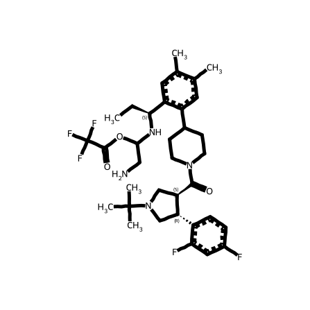 CC[C@H](NC(CN)OC(=O)C(F)(F)F)c1cc(C)c(C)cc1C1CCN(C(=O)[C@@H]2CN(C(C)(C)C)C[C@H]2c2ccc(F)cc2F)CC1